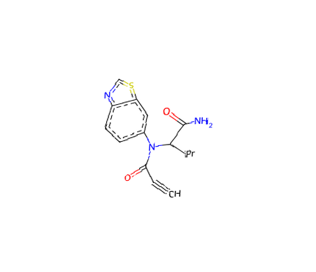 C#CC(=O)N(c1ccc2ncsc2c1)C(C(N)=O)C(C)C